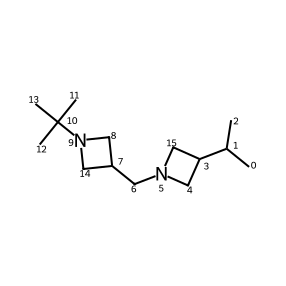 CC(C)C1CN(CC2CN(C(C)(C)C)C2)C1